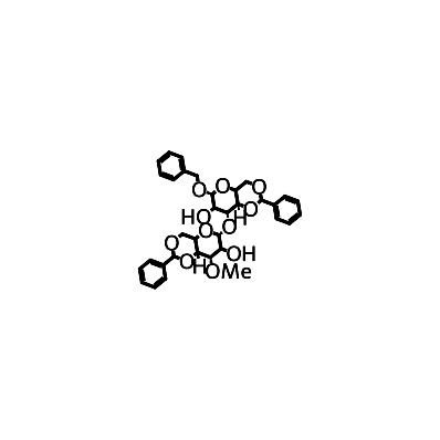 CO[C@@H]1C(O)[C@H](O[C@@H]2C(O)[C@@H](OCc3ccccc3)OC3COC(c4ccccc4)O[C@H]32)OC2COC(c3ccccc3)O[C@H]21